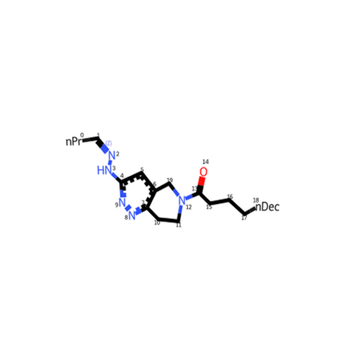 CCC/C=N\Nc1cc2c(nn1)CCN(C(=O)CCCCCCCCCCCCC)C2